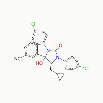 N#Cc1cccc(C2(O)[C@H](CC3CC3)N(c3ccc(Cl)cc3)C(=O)N2c2ccc(Cl)cc2)c1